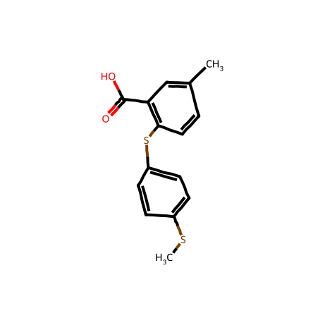 CSc1ccc(Sc2ccc(C)cc2C(=O)O)cc1